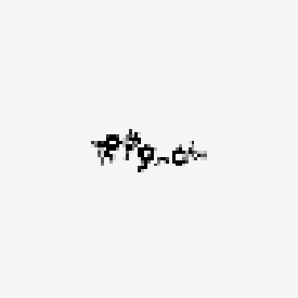 CCc1cc(N2C(=S)N(c3ccc(C#N)c(C(F)(F)F)c3)C(=O)C2(C)C)ccc1OCC[C@H]1CCN(C(=O)O)[C@H](C)C1